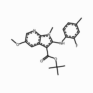 COc1cnc2c(c1)c(C(=O)OC(C)(C)C)c(Nc1ccc(C)cc1F)n2C